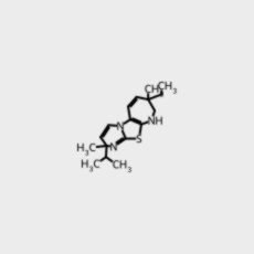 CCC1(C)C=CC2=C(NC1)SC1=NC(C)(C(C)C)C=CN12